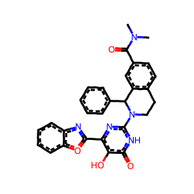 CN(C)C(=O)c1ccc2c(c1)C(c1ccccc1)N(c1nc(-c3nc4ccccc4o3)c(O)c(=O)[nH]1)CC2